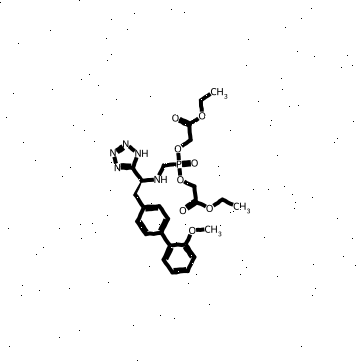 CCOC(=O)COP(=O)(CN[C@@H](Cc1ccc(-c2ccccc2OC)cc1)c1nnn[nH]1)OCC(=O)OCC